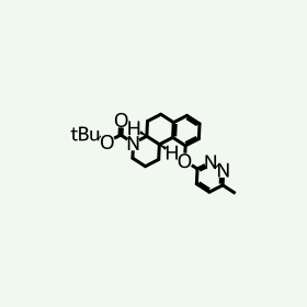 Cc1ccc(Oc2cccc3c2[C@@H]2CCCN(C(=O)OC(C)(C)C)[C@@H]2CC3)nn1